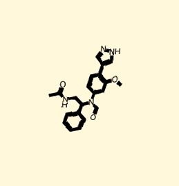 COc1cc(N(C=O)C(CNC(C)=O)c2ccccc2)ccc1-c1cn[nH]c1